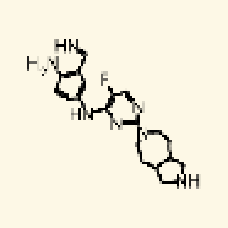 N=Cc1cc(Nc2nc(N3CCC4CNCC4CC3)ncc2F)ccc1N